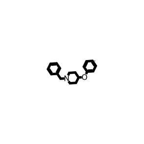 [c]1ccc(OC2CCN(Cc3ccccc3)CC2)cc1